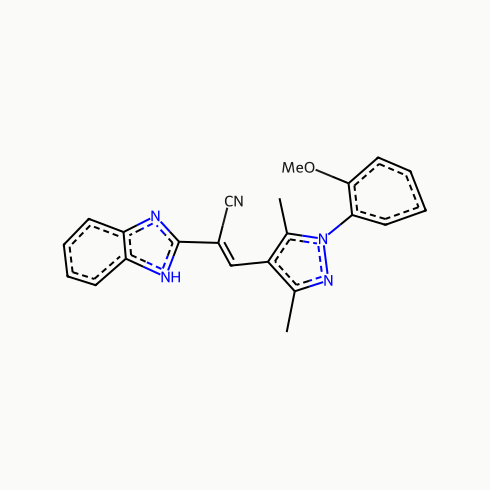 COc1ccccc1-n1nc(C)c(/C=C(\C#N)c2nc3ccccc3[nH]2)c1C